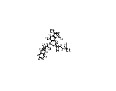 CCNCCNC(=O)CN(CC(=O)N(C)N1Cc2ccccc2C1)c1cc2c(cc1C)c(CC)nn2C